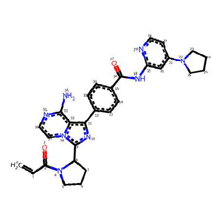 C=CC(=O)N1CCCC1c1nc(-c2ccc(C(=O)Nc3cc(N4CCCC4)ccn3)cc2)c2c(N)nccn12